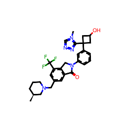 C[C@H]1CCCN(Cc2cc3c(c(C(F)(F)F)c2)CN(c2cccc(C4(c5nncn5C)CC(O)C4)c2)C3=O)C1